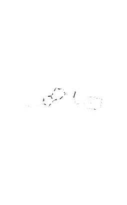 CSc1cc2cc(C(=O)N[C@@H]3C[C@H]4CCN(C4)C3)ncc2o1